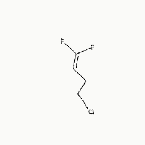 FC(F)=CCCCl